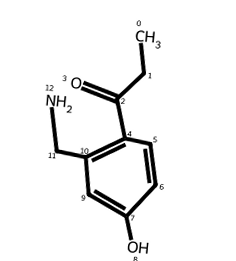 CCC(=O)c1ccc(O)cc1CN